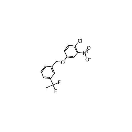 O=[N+]([O-])c1cc(OCc2cccc(C(F)(F)F)c2)ccc1Cl